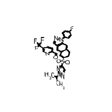 CC(C)n1ncc(S(=O)(=O)[C@H]2CCC3=Cc4c(cnn4-c4ccc(F)cc4)C[C@]3(C(=O)c3ccc(C(F)(F)F)cn3)C2)n1